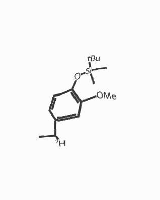 [2H]C(C)c1ccc(O[Si](C)(C)C(C)(C)C)c(OC)c1